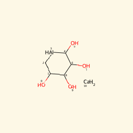 OC1[CH2][AlH][CH](O)C(O)C1O.[CaH2]